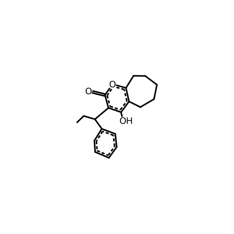 CCC(c1ccccc1)c1c(O)c2c(oc1=O)CCCCC2